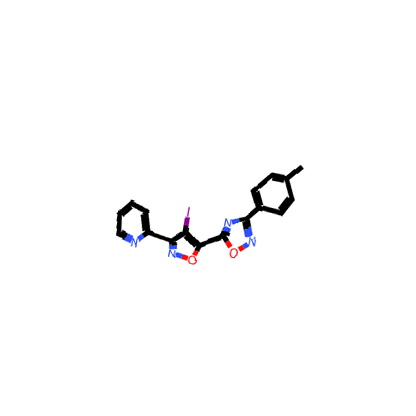 Cc1ccc(-c2noc(-c3onc(-c4ccccn4)c3I)n2)cc1